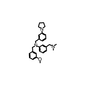 COc1cccc(CN(Cc2cccc(N3CCCC3)c2)c2cccc(CN(C)C)c2)c1